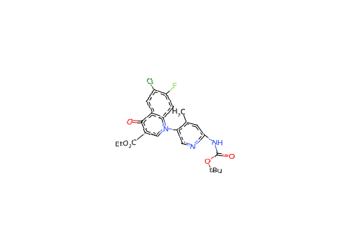 CCOC(=O)c1cn(-c2cnc(NC(=O)OC(C)(C)C)cc2C)c2cc(F)c(Cl)cc2c1=O